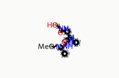 COCCN1C[C@@H](NC(=O)Nc2c(C)c(-c3ccnc(C(=O)NCCO)c3)nn2-c2ccccc2)[C@H](c2ccccc2)C1